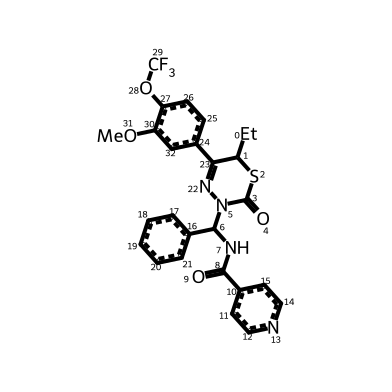 CCC1SC(=O)N(C(NC(=O)c2ccncc2)c2ccccc2)N=C1c1ccc(OC(F)(F)F)c(OC)c1